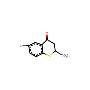 CCOC(=O)C1CC(=O)c2cc(Cl)ccc2S1